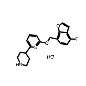 Cl.Fc1ccc(COc2cccc(C3CCNCC3)n2)c2occc12